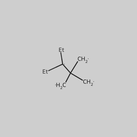 [CH2]C([CH2])([CH2])[C](CC)CC